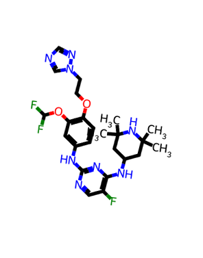 CC1(C)CC(Nc2nc(Nc3ccc(OCCn4cncn4)c(OC(F)F)c3)ncc2F)CC(C)(C)N1